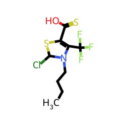 CCCCN1C(C(F)(F)F)=C(C(O)=S)SC1Cl